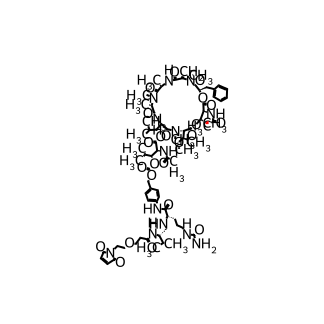 C=C1C(=O)N[C@@H](C)C(=O)N(C)[C@@H](C)C(=O)N[C@@H]([C@H](OC(=O)[C@@H](NC(C)=O)[C@H](OC(=O)OCc2ccc(NC(=O)[C@H](CCCNC(N)=O)NC[C@@H](NC(=O)CCOCCN3C(=O)C=CC3=O)C(C)C)cc2)C(C)C)C(C)C)C(=O)N(C)[C@@H]([C@@H](C)OC)C(=O)O[C@H](C)[C@H](NC(C)=O)C(=O)O[C@H](Cc2ccccc2)C(=O)N1C